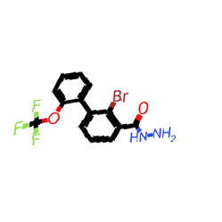 NNC(=O)c1cccc(-c2ccccc2OC(F)(F)F)c1Br